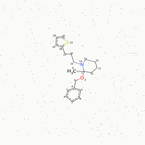 CC1(OCc2ccccc2)CCCCN1CCCc1cccs1